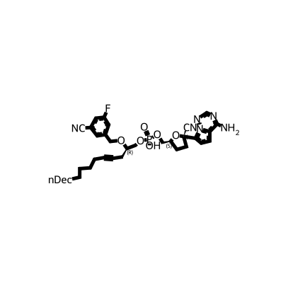 CCCCCCCCCCCCCCC#CC[C@H](COP(=O)(O)OC[C@@H]1CC[C@](C#N)(c2ccc3c(N)ncnn23)O1)OCc1cc(F)cc(C#N)c1